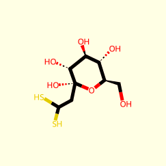 OC[C@H]1O[C@@](O)(CC(S)S)[C@H](O)[C@@H](O)[C@@H]1O